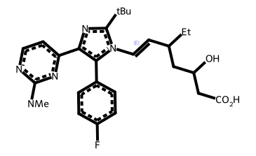 CCC(/C=C/n1c(C(C)(C)C)nc(-c2ccnc(NC)n2)c1-c1ccc(F)cc1)CC(O)CC(=O)O